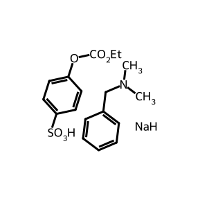 CCOC(=O)Oc1ccc(S(=O)(=O)O)cc1.CN(C)Cc1ccccc1.[NaH]